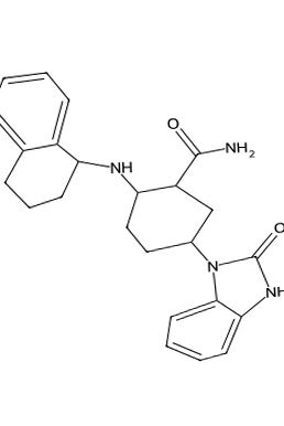 NC(=O)C1CC(n2c(=O)[nH]c3ccccc32)CCC1NC1CCCc2ccccc21